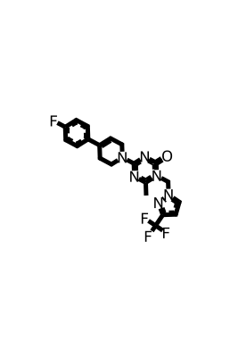 Cc1nc(N2CC=C(c3ccc(F)cc3)CC2)nc(=O)n1Cn1ccc(C(F)(F)F)n1